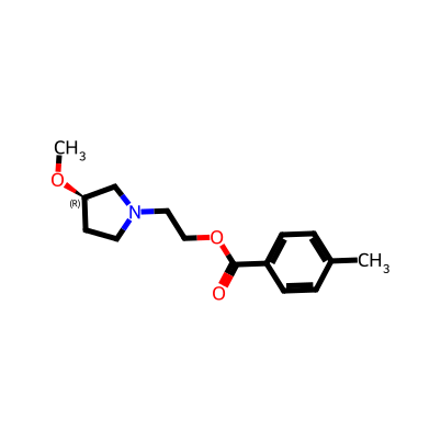 CO[C@@H]1CCN(CCOC(=O)c2ccc(C)cc2)C1